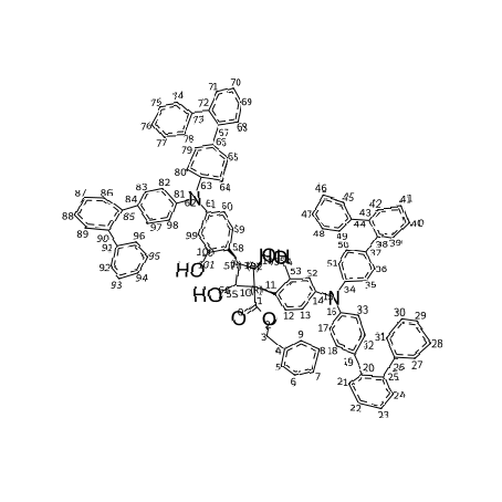 O=C(OCc1ccccc1)[C@]1(c2ccc(N(c3ccc(-c4ccccc4-c4ccccc4)cc3)c3ccc(-c4ccccc4-c4ccccc4)cc3)cc2O)C(O)[C@@H](c2ccc(N(c3ccc(-c4ccccc4-c4ccccc4)cc3)c3ccc(-c4ccccc4-c4ccccc4)cc3)cc2O)[C@H]1O